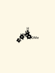 COc1ccc2nc(Nc3ccc(N4CCCC4)cc3)c3n[nH]cc3c2c1